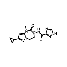 CN1C(=O)[C@@H](NC(=O)c2nc[nH]n2)CCn2nc(C3CC3)cc21